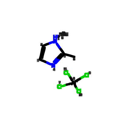 CCCC[NH+]1C=CN=C1C.[Cl][Al-]([Cl])([Cl])[Cl]